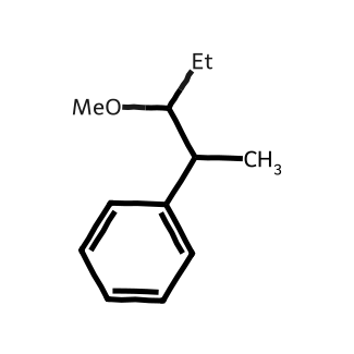 CCC(OC)C(C)c1ccccc1